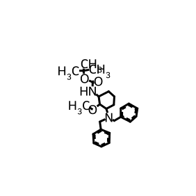 COC1C(NC(=O)OC(C)(C)C)CCCC1N(Cc1ccccc1)Cc1ccccc1